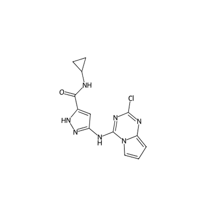 O=C(NC1CC1)c1cc(Nc2nc(Cl)nc3cccn23)n[nH]1